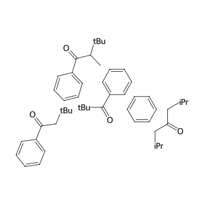 CC(C(=O)c1ccccc1)C(C)(C)C.CC(C)(C)C(=O)c1ccccc1.CC(C)(C)CC(=O)c1ccccc1.CC(C)CC(=O)CC(C)C.c1ccccc1